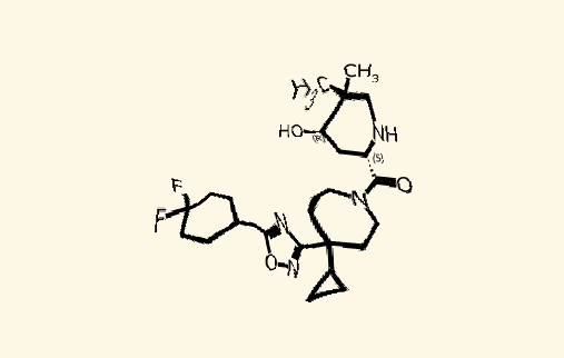 CC1(C)CN[C@H](C(=O)N2CCC(c3noc(C4CCC(F)(F)CC4)n3)(C3CC3)CC2)C[C@H]1O